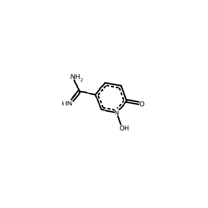 N=C(N)c1ccc(=O)n(O)c1